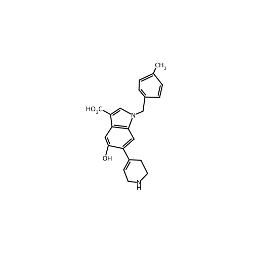 Cc1ccc(Cn2cc(C(=O)O)c3cc(O)c(C4=CCNCC4)cc32)cc1